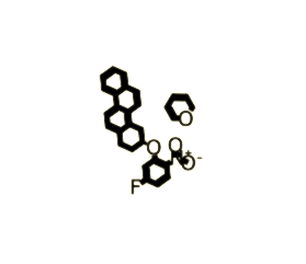 C1=CCOC=C1.O=[N+]([O-])c1ccc(F)cc1O[C@H]1CCc2ccc3c(ccc4ccccc43)c2C1